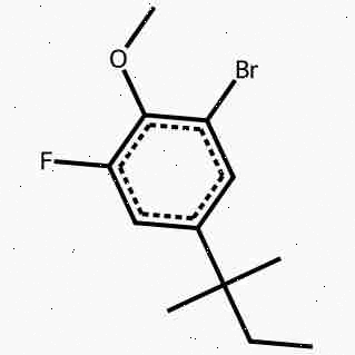 CCC(C)(C)c1cc(F)c(OC)c(Br)c1